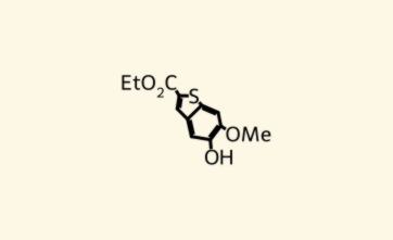 CCOC(=O)c1cc2cc(O)c(OC)cc2s1